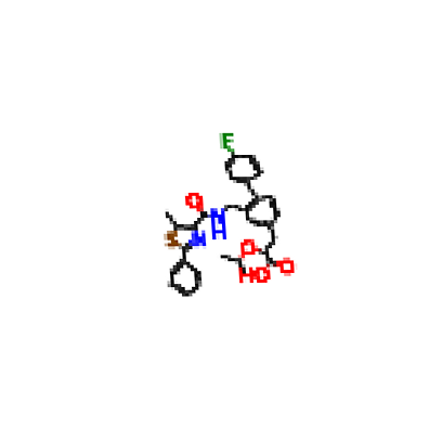 Cc1sc(-c2ccccc2)nc1C(=O)NCc1cc(CC(OC(C)C)C(=O)O)ccc1-c1ccc(F)cc1